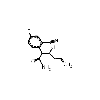 C=CCC(Cl)C(C(N)=O)c1ccc(F)cc1C#N